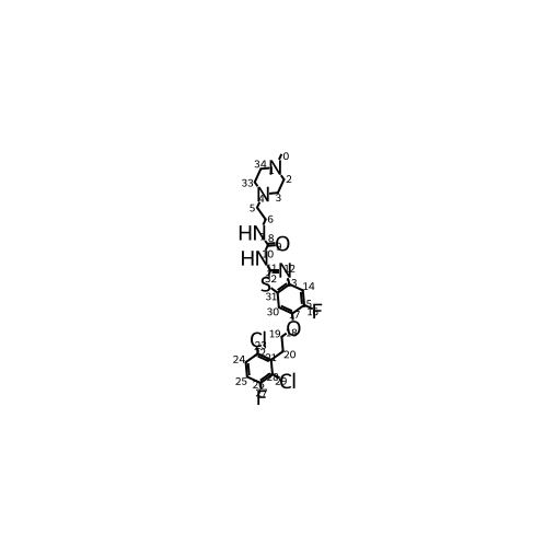 CN1CCN(CCNC(=O)Nc2nc3cc(F)c(OCCc4c(Cl)ccc(F)c4Cl)cc3s2)CC1